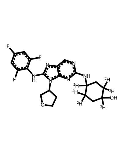 [2H]C1([2H])CC([2H])(Nc2ncc3nc(Nc4c(F)cc(F)cc4F)n(C4CCOC4)c3n2)C([2H])([2H])CC1([2H])O